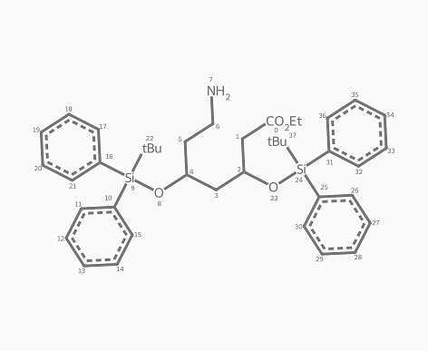 CCOC(=O)CC(CC(CCN)O[Si](c1ccccc1)(c1ccccc1)C(C)(C)C)O[Si](c1ccccc1)(c1ccccc1)C(C)(C)C